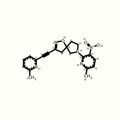 Cc1cccc(C#CC2=NOC3(CCN(c4nc(C)ccc4[N+](=O)[O-])C3)C2)n1